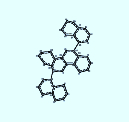 c1ccc2c(-c3cc4c5ccccc5c(-c5cccc6ccccc56)cc4c4ccccc34)cccc2c1